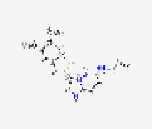 C=CCNc1ccc2ncc(-c3cc4cc(OC)c(OC)cc4s3)n2n1